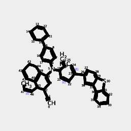 C#CC1C=C(N(c2ccc(-c3ccccc3)cc2)C(C=C)/C=C\C(=C/C)c2ccc3sc4ccccc4c3c2)C2=C(C=CCC2)C1/C=C\C